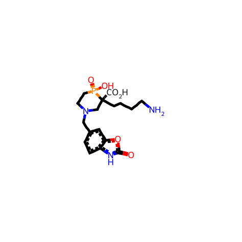 NCCCCC1(C(=O)O)CN(Cc2ccc3[nH]c(=O)oc3c2)CCP1(=O)O